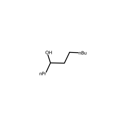 [CH2]CCC(O)CCCCCC